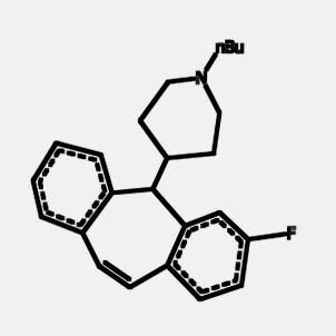 CCCCN1CCC(C2c3ccccc3C=Cc3ccc(F)cc32)CC1